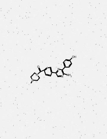 CN1CCN(C(=O)c2ccc(-c3cnc(N)c(-c4ccc(O)cc4)n3)cc2)CC1